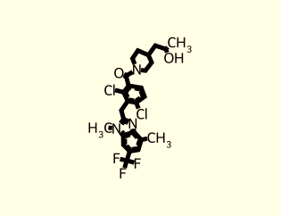 Cc1cc(C(F)(F)F)cc2c1nc(Cc1c(Cl)ccc(C(=O)N3CCC(CC(C)O)CC3)c1Cl)n2C